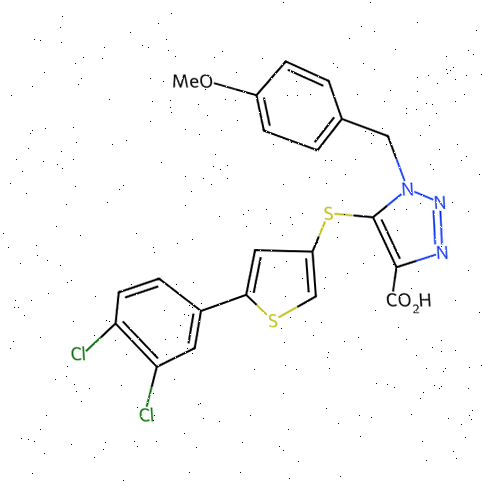 COc1ccc(Cn2nnc(C(=O)O)c2Sc2csc(-c3ccc(Cl)c(Cl)c3)c2)cc1